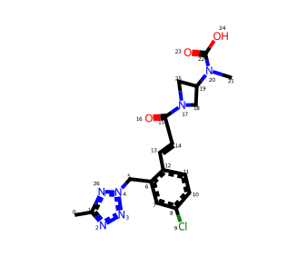 Cc1nnn(Cc2cc(Cl)ccc2C=CC(=O)N2CC(N(C)C(=O)O)C2)n1